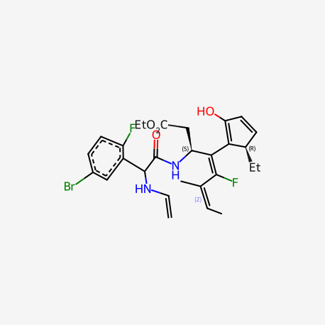 C=CNC(C(=O)N[C@@H](CC(=O)OCC)C(=C(F)/C(C)=C\C)C1=C(O)C=C[C@H]1CC)c1cc(Br)ccc1F